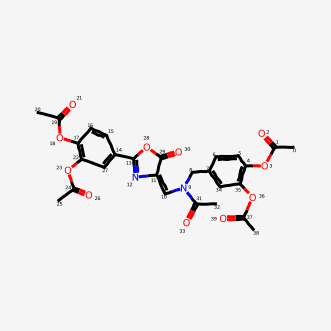 CC(=O)Oc1ccc(CN(/C=C2/N=C(c3ccc(OC(C)=O)c(OC(C)=O)c3)OC2=O)C(C)=O)cc1OC(C)=O